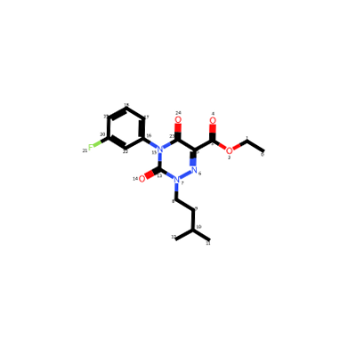 CCOC(=O)c1nn(CCC(C)C)c(=O)n(-c2cccc(F)c2)c1=O